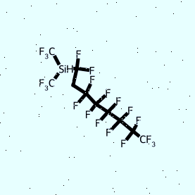 FC(F)(F)[SiH](C(F)(F)F)C(F)(F)CC(F)(F)C(F)(F)C(F)(F)C(F)(F)C(F)(F)C(F)(F)F